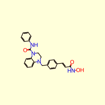 O=C(C=Cc1ccc(CN2CCN(C(=O)Nc3ccccc3)c3ccccc32)cc1)NO